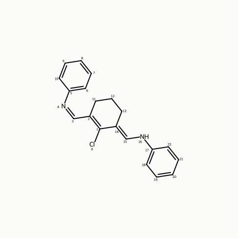 ClC1=C(/C=N\c2ccccc2)CCC/C1=C\Nc1ccccc1